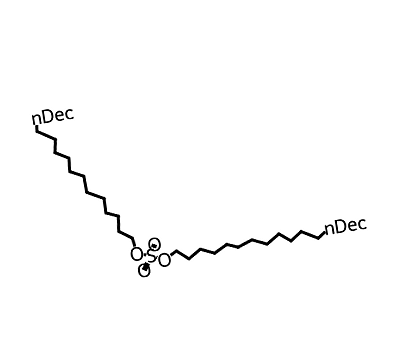 CCCCCCCCCCCCCCCCCCCCCCOS(=O)(=O)OCCCCCCCCCCCCCCCCCCCCCC